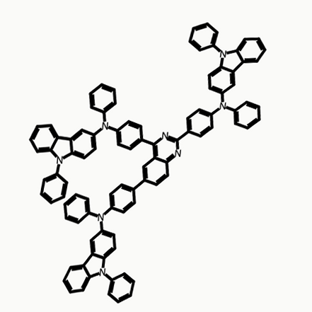 c1ccc(N(c2ccc(-c3ccc4nc(-c5ccc(N(c6ccccc6)c6ccc7c(c6)c6ccccc6n7-c6ccccc6)cc5)nc(-c5ccc(N(c6ccccc6)c6ccc7c(c6)c6ccccc6n7-c6ccccc6)cc5)c4c3)cc2)c2ccc3c(c2)c2ccccc2n3-c2ccccc2)cc1